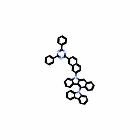 c1ccc(-c2nc(-c3ccccc3)nc(-c3ccc4ccc(-n5c6ccccc6c6c(-n7c8ccccc8c8ccccc87)c7ccccc7cc65)cc4c3)n2)cc1